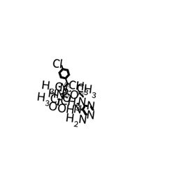 C[C@H](Cn1cnc2c(N)ncnc21)OC[P@@](=O)(NC(C)(C)C(=O)O)N(C)[C@H](C)c1ccc(Cl)cc1